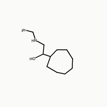 CC(C)CNCC(O)C1CCCCCCC1